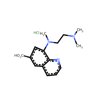 CN(C)CCN(C)c1cc(C(=O)O)cc2cccnc12.Cl